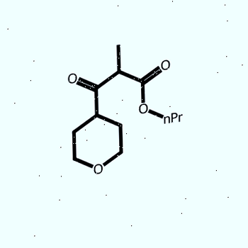 CCCOC(=O)C(C)C(=O)C1CCOCC1